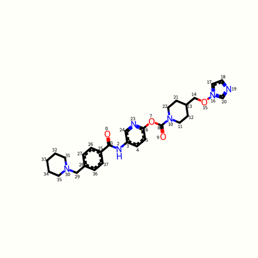 O=C(Nc1ccc(OC(=O)N2CCC(COn3ccnc3)CC2)nc1)c1ccc(CN2CCCCC2)cc1